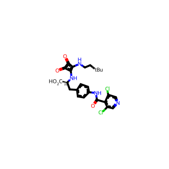 CC(C)(C)CCNc1c(N[C@@H](Cc2ccc(NC(=O)c3c(Cl)cncc3Cl)cc2)C(=O)O)c(=O)c1=O